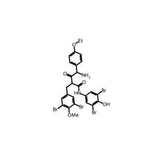 CCOc1ccc(C(N)C(=O)C(Cc2cc(Br)c(OC)c(Br)c2)C(=O)Nc2cc(Br)c(O)c(Br)c2)cc1